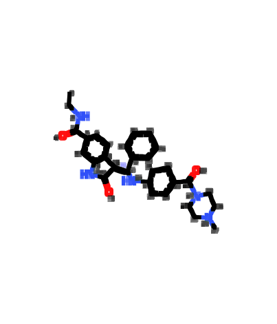 CCNC(=O)c1ccc2c(c1)NC(=O)/C2=C(\Nc1ccc(C(=O)N2CCN(C)CC2)cc1)c1ccccc1